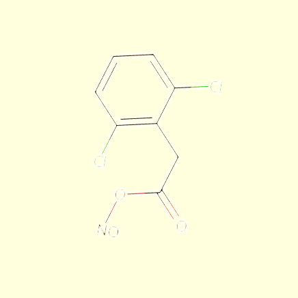 O=NOC(=O)Cc1c(Cl)cccc1Cl